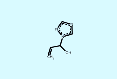 C=CC(O)n1[c]ncn1